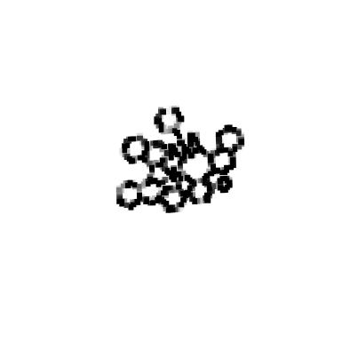 c1ccc(-c2nc3nc(n2)C(c2ccccc2)(n2c4ccc5ccccc5c4c4c5ccccc5ccc42)c2cccc4oc5cc6ccccc6c-3c5c24)cc1